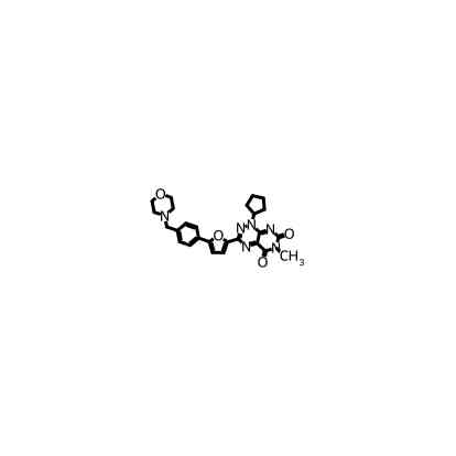 Cn1c(=O)nc2n(C3CCCC3)nc(-c3ccc(-c4ccc(CN5CCOCC5)cc4)o3)nc-2c1=O